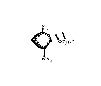 CC(=O)O.CC(=O)O.Nc1ccc(N)cc1